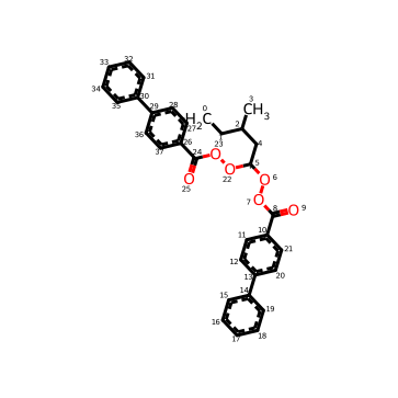 [CH2]CC(C)C[C](OOC(=O)c1ccc(-c2ccccc2)cc1)OOC(=O)c1ccc(-c2ccccc2)cc1